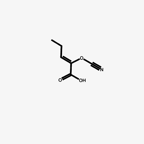 CCC=C(OC#N)C(=O)O